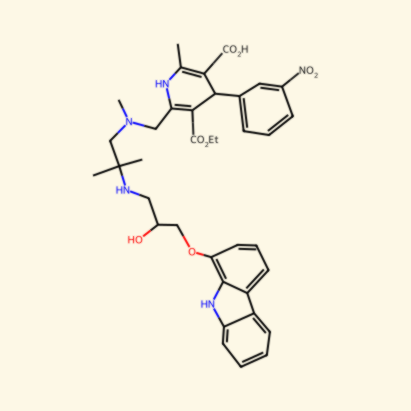 CCOC(=O)C1=C(CN(C)CC(C)(C)NCC(O)COc2cccc3c2[nH]c2ccccc23)NC(C)=C(C(=O)O)C1c1cccc([N+](=O)[O-])c1